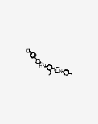 CCc1cc(NC[C@@H]2CCC(c3ccc(Cl)cc3)C2)ccc1N1CCN(C2=CCC(C)C=C2)CC1